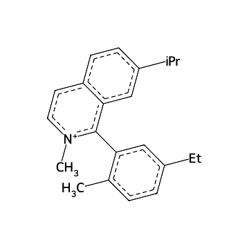 CCc1ccc(C)c(-c2c3cc(C(C)C)ccc3cc[n+]2C)c1